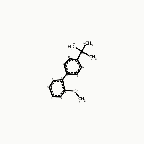 COc1cc[c]cc1-c1ccc(C(C)(C)C)cc1